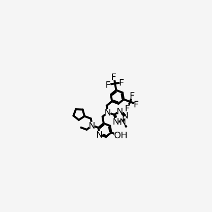 CCN(CC1CCCC1)c1ncc(O)cc1CN(Cc1cc(C(F)(F)F)cc(C(F)(F)F)c1)c1nnn(C)n1